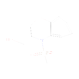 CS(=O)(=O)N1c2ccccc2OCC1CO